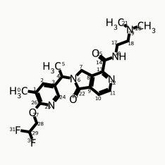 Cc1cc(C(C)N2Cc3c(ccnc3C(=O)NCCN(C)C)C2=O)cnc1OCC(F)F